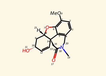 COc1ccc2c3c1O[C@H]1C[C@@H](O)C=C[C@@]31CC(=O)N(C)C2